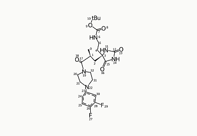 C[C@@H](C[C@@]1(CCNC(=O)OC(C)(C)C)NC(=O)NC1=O)C(=O)N1CCN(c2ccc(F)c(F)c2)CC1